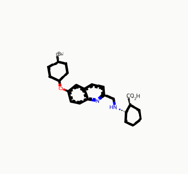 CC(C)(C)C1CCC(Oc2ccc3nc(CN[C@H]4CCCC[C@@H]4C(=O)O)ccc3c2)CC1